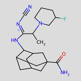 CC(/C(=N\C#N)NC1C2CC3CC1CC(C(N)=O)(C3)C2)N1CCCC(F)C1